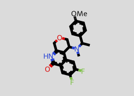 COc1ccc(C(C)N(C)C2COCc3[nH]c(=O)c4cc(F)c(F)cc4c32)cc1